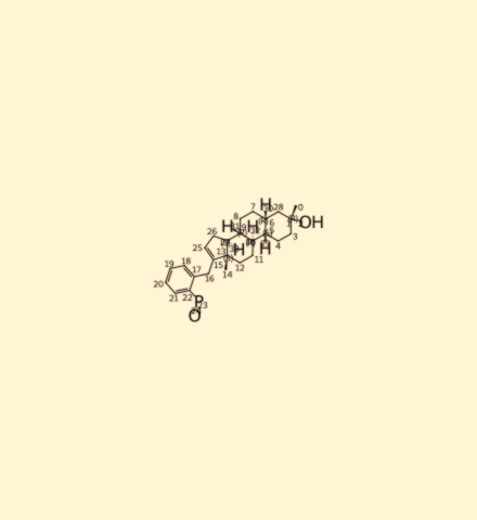 C[C@@]1(O)CC[C@H]2[C@H](CC[C@@H]3[C@@H]2CC[C@]2(C)C(Cc4ccccc4P=O)=CC[C@@H]32)C1